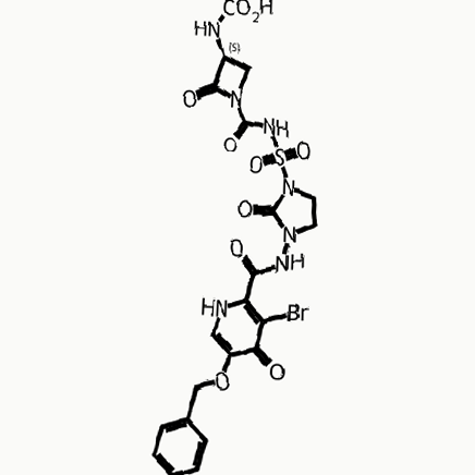 O=C(O)N[C@H]1CN(C(=O)NS(=O)(=O)N2CCN(NC(=O)c3[nH]cc(OCc4ccccc4)c(=O)c3Br)C2=O)C1=O